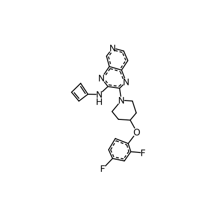 Fc1ccc(OC2CCN(c3nc4ccncc4nc3NC3=CC=C3)CC2)c(F)c1